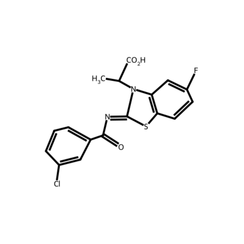 CC(C(=O)O)n1/c(=N/C(=O)c2cccc(Cl)c2)sc2ccc(F)cc21